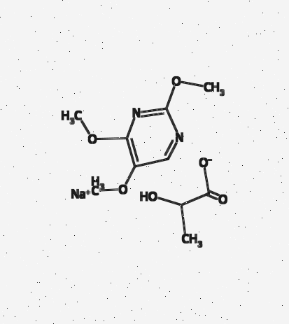 CC(O)C(=O)[O-].COc1ncc(OC)c(OC)n1.[Na+]